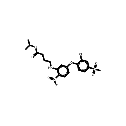 CC(C)OC(=O)CCCNc1cc(Oc2ccc(S(C)(=O)=O)cc2Cl)ccc1[N+](=O)[O-]